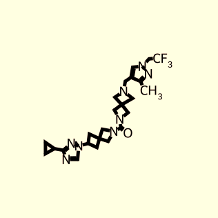 Cc1nn(CC(F)(F)F)cc1CN1CC2(C1)CN(C(=O)N1CC3(CC(n4cnc(C5CC5)n4)C3)C1)C2